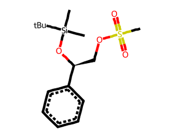 CC(C)(C)[Si](C)(C)O[C@@H](COS(C)(=O)=O)c1ccccc1